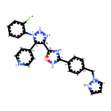 Fc1ccccc1-n1nnc(-c2nc(-c3ccc(Cn4cccn4)cc3)no2)c1-c1ccncc1